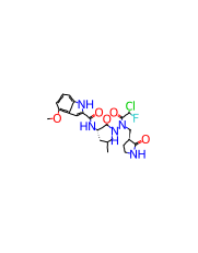 COc1cccc2[nH]c(C(=O)N[C@@H](CC(C)C)C(=O)NN(C[C@@H]3CCNC3=O)C(=O)[C@H](F)Cl)cc12